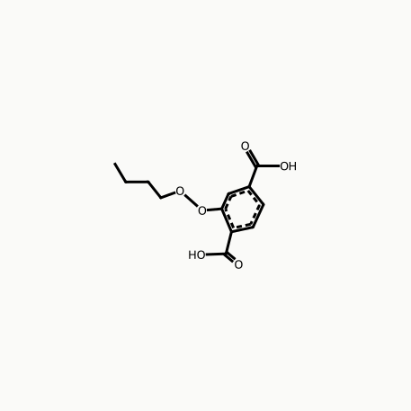 CCCCOOc1cc(C(=O)O)ccc1C(=O)O